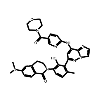 Cc1ccc(N2CCc3cc(N(C)C)ccc3C2=O)c(O)c1-c1cc(Nc2ccc(C(=O)N3CCOCC3)cn2)c2nccn2n1